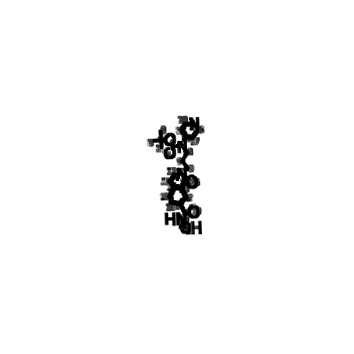 CC(C)(C)OC(=O)N(CCCn1ccc2ccc(C(=O)NO)cc2c1=O)c1ccncc1